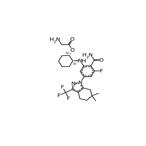 CC1(C)CCc2c(C(F)(F)F)nn(-c3cc(F)c(C(N)=O)c(N[C@H]4CCCC[C@@H]4OC(=O)CN)c3)c2C1